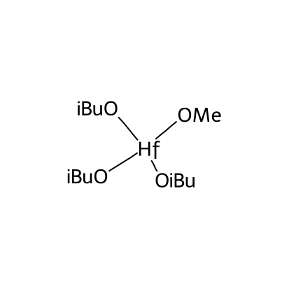 C[O][Hf]([O]CC(C)C)([O]CC(C)C)[O]CC(C)C